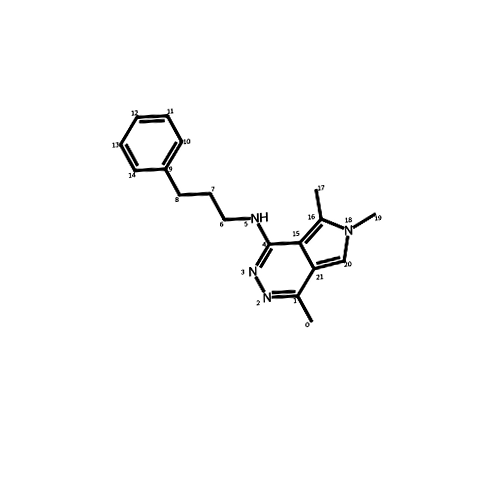 Cc1nnc(NCCCc2ccccc2)c2c(C)n(C)cc12